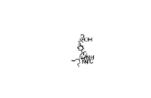 CCCC(CCC)N(CCc1ccc(SC(C)(C)C(=O)O)cc1)c1nn(C)c(=O)[nH]c1=O